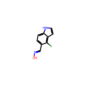 O/N=C/c1ccc2[nH]ccc2c1F